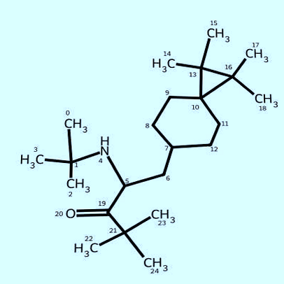 CC(C)(C)NC(CC1CCC2(CC1)C(C)(C)C2(C)C)C(=O)C(C)(C)C